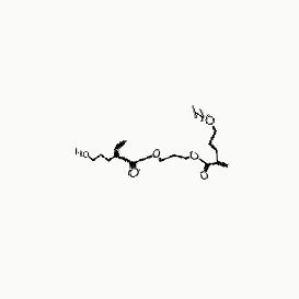 C=C(CCCO)C(=O)OCCCOC(=O)C(=C)CCCO